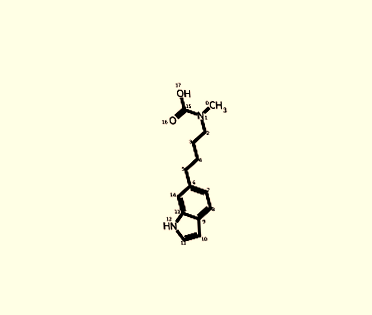 CN(CCCCc1ccc2cc[nH]c2c1)C(=O)O